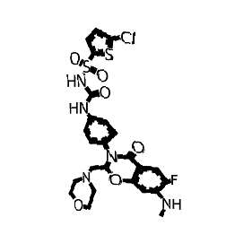 CNc1cc2c(cc1F)C(=O)N(c1ccc(NC(=O)NS(=O)(=O)c3ccc(Cl)s3)cc1)C(CN1CCOCC1)O2